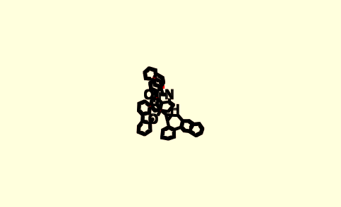 CC1C/C=C(c2c(C3C4c5ccccc5-c5cc6ccccc6cc5C[C@@H]43)ccc3oc4ccccc4c23)/N=C(c2ccc3ccccc3c2)\N=C/1c1cccc2c1oc1ccccc12